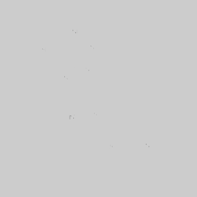 CC(C)Nc1nc2c(-c3cn(C)c(=O)c4[nH]ccc34)cccc2cc1C1CCCN1c1ncnc(N)c1C#N